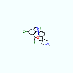 CN1CCC(COC(CF)c2cc(Cl)cc3cn[nH]c23)(c2ccc(F)cc2)CC1